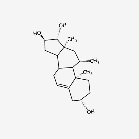 C[C@H]1C[C@@]2(C)C(C[C@@H](O)[C@@H]2O)C2CC=C3C[C@@H](O)CC[C@]3(C)C21